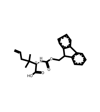 C=CCC(C)(C)[C@H](NC(=O)OCC1c2ccccc2-c2ccccc21)C(=O)O